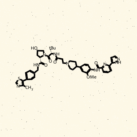 COc1cc(C2CCN(CCC(=O)N[C@H](C(=O)N3C[C@H](O)C[C@H]3C(=O)NCc3ccc(-c4scnc4C)cc3)C(C)(C)C)CC2)ccc1NC(=O)c1cccc(-c2ccn[nH]2)n1